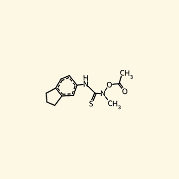 CC(=O)ON(C)C(=S)Nc1ccc2c(c1)CCC2